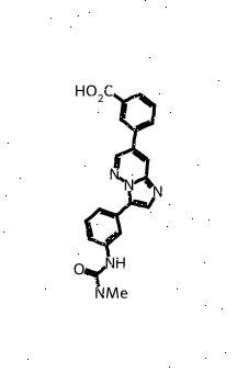 CNC(=O)Nc1cccc(-c2cnc3cc(-c4cccc(C(=O)O)c4)cnn23)c1